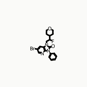 O=c1n(CC(F)C2CCOCC2)c2cc(Br)cnc2n1-c1ccccc1